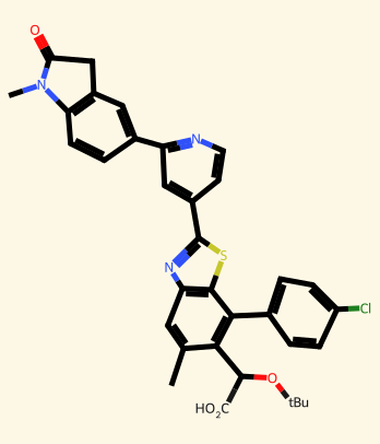 Cc1cc2nc(-c3ccnc(-c4ccc5c(c4)CC(=O)N5C)c3)sc2c(-c2ccc(Cl)cc2)c1C(OC(C)(C)C)C(=O)O